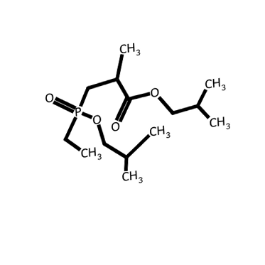 CCP(=O)(CC(C)C(=O)OCC(C)C)OCC(C)C